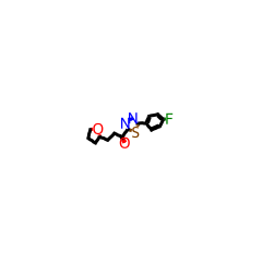 O=C(CCC1CCCO1)c1nnc(-c2ccc(F)cc2)s1